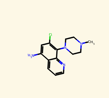 CN1CCN(c2c(Cl)cc(N)c3cccnc23)CC1